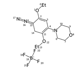 CCOC1=CC(N2CCOCC2)=C(OCC)CC1=[N+]=[N-].F[B-](F)(F)F